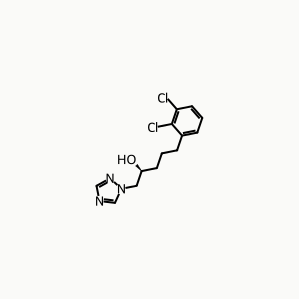 O[C@@H](CCCc1cccc(Cl)c1Cl)Cn1cncn1